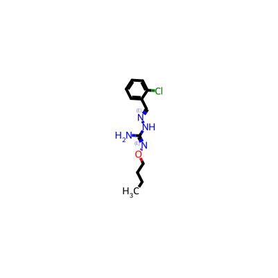 CCCCO/N=C(\N)N/N=C/c1ccccc1Cl